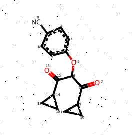 N#Cc1ccc(OC(C(=O)C2CC2)C(=O)C2CC2)cc1